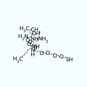 CCCCCC[C@H](NC(=O)CCOCCOCCOCCOCCS)C(=O)N[C@@H](CCN)C(=O)N[C@H](C(N)=O)[C@H](O)CC(C)C